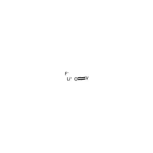 [F-].[Li+].[O]=[V]